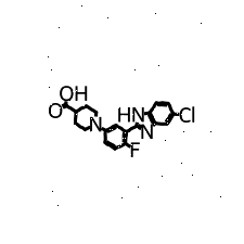 O=C(O)C1CCN(c2ccc(F)c(-c3nc4cc(Cl)ccc4[nH]3)c2)CC1